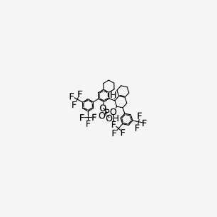 O=P1(O)Oc2c(-c3cc(C(F)(F)F)cc(C(F)(F)F)c3)cc3c(c2[C@H]2C4=C(CCCC4)CC(c4cc(C(F)(F)F)cc(C(F)(F)F)c4)C2O1)CCCC3